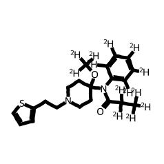 [2H]c1c([2H])c([2H])c(N(C(=O)C([2H])([2H])C([2H])([2H])[2H])C2(OC([2H])([2H])[2H])CCN(CCc3cccs3)CC2)c([2H])c1[2H]